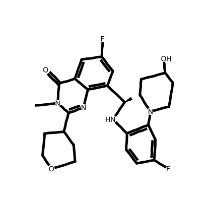 C[C@@H](Nc1ccc(F)cc1N1CCC(O)CC1)c1cc(F)cc2c(=O)n(C)c(C3CCOCC3)nc12